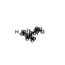 CS(=O)(=O)OCCNc1c(C(=O)NCCOP(=O)(O)OCCCl)cc([N+](=O)[O-])cc1[N+](=O)[O-]